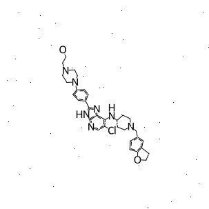 COCCN1CCN(c2ccc(-c3nc4c(NC5CCN(Cc6ccc7c(c6)CCO7)CC5)c(Cl)cnc4[nH]3)cc2)CC1